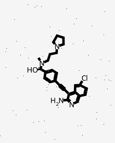 CN(CCCN1CCCC1)[C@H](O)c1ccc(C#Cc2c(N)ncc3ccc(Cl)cc23)cc1